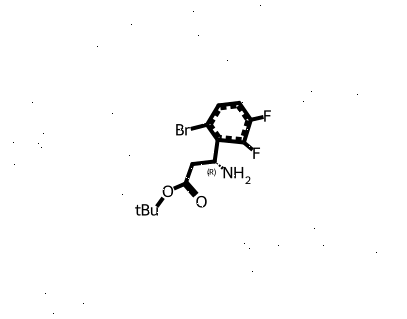 CC(C)(C)OC(=O)C[C@@H](N)c1c(Br)ccc(F)c1F